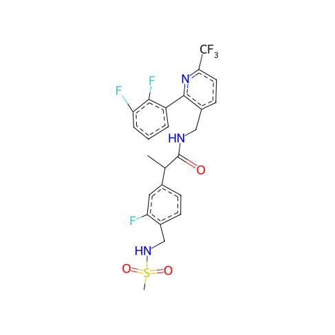 CC(C(=O)NCc1ccc(C(F)(F)F)nc1-c1cccc(F)c1F)c1ccc(CNS(C)(=O)=O)c(F)c1